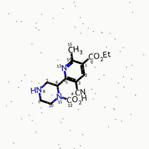 CCOC(=O)c1cc(C#N)c(C2CNCCN2C(=O)O)nc1C